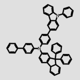 C1=CC2c3ccc(N(c4ccc(-c5ccccc5)cc4)c4ccc(-c5ccc6c(c5)c5ccccc5n6-c5ccccc5)cc4)cc3C(c3ccccc3)(c3ccccc3)C2C=C1